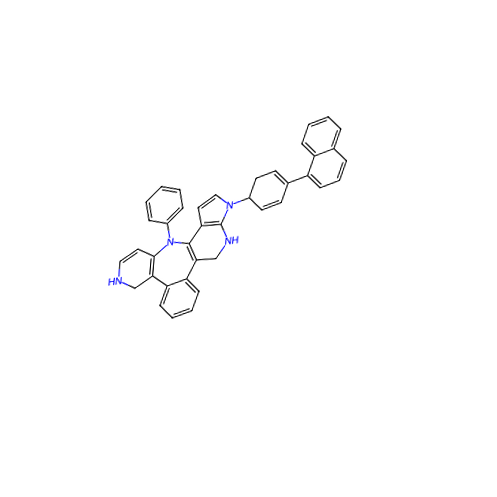 C1=CC2=C(CN1)c1ccccc1C1=C(c3ccn(C4C=CC(c5cccc6ccccc56)=CC4)c3NC1)N2c1ccccc1